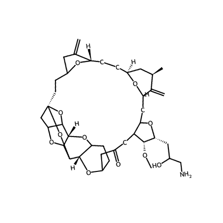 C=C1CC2CC[C@@]34CC5OC6C(O3)[C@H]3OC(CCC3O[C@H]6C5O4)CC(=O)CC3C(C[C@H]4O[C@@H](CC[C@@H]1O2)C[C@@H](C)C4=C)O[C@H](CC(O)CN)[C@@H]3OC